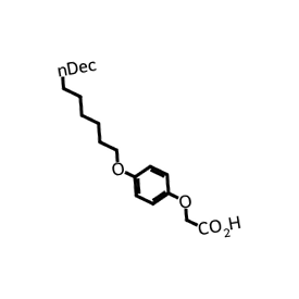 CCCCCCCCCCCCCCCCOc1ccc(OCC(=O)O)cc1